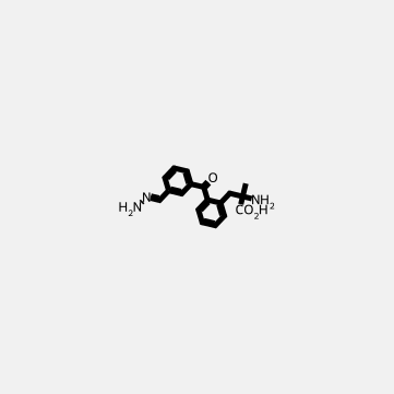 CC(N)(Cc1ccccc1C(=O)c1cccc(C=NN)c1)C(=O)O